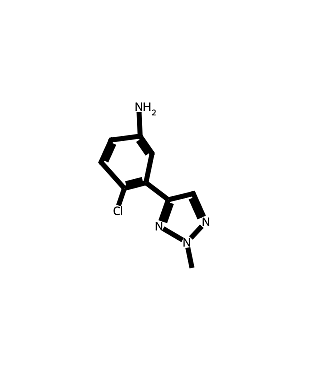 Cn1ncc(-c2cc(N)ccc2Cl)n1